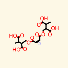 CC(C(=O)O)C(COC(=O)/C=C\C(=O)OCC(C(=O)O)C(C)C(=O)O)C(=O)O